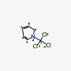 ClC(Cl)(Cl)N1C=CC=CC1